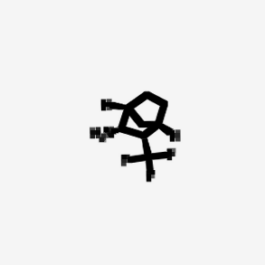 N[C@@H]1[C@@H]2CC[C@@H](C2)[C@H]1C(F)(F)F